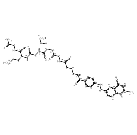 NC(=O)CNC(=O)[C@H](CCC(=O)O)NC(=O)CNC(=O)[C@H](CCC(=O)O)NC(=O)CNC(=O)CCCNC(=O)c1ccc(NCc2cnc3nc(N)[nH]c(=O)c3n2)cc1